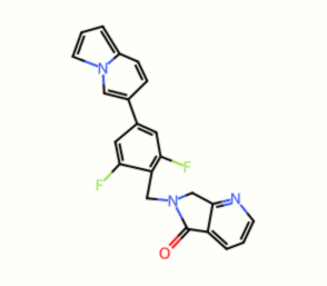 O=C1c2cccnc2CN1Cc1c(F)cc(-c2ccc3cccn3c2)cc1F